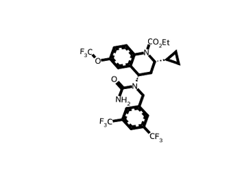 CCOC(=O)N1c2ccc(OC(F)(F)F)cc2[C@@H](N(Cc2cc(C(F)(F)F)cc(C(F)(F)F)c2)C(N)=O)C[C@H]1C1CC1